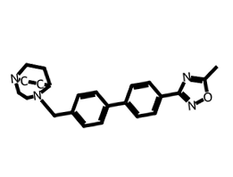 Cc1nc(-c2ccc(-c3ccc(CN4CCN5CCC4CC5)cc3)cc2)no1